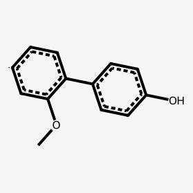 COc1c[c]ccc1-c1ccc(O)cc1